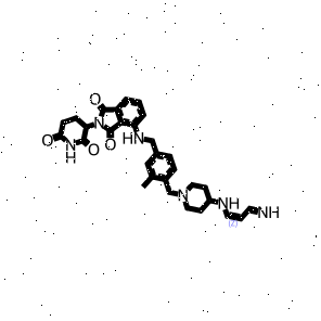 Cc1cc(CNc2cccc3c2C(=O)N(C2CCC(=O)NC2=O)C3=O)ccc1CN1CCC(N/C=C\C=N)CC1